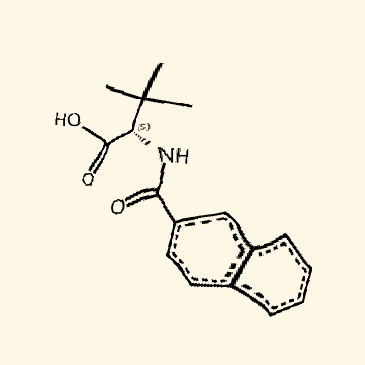 CC(C)(C)[C@H](NC(=O)c1ccc2ccccc2c1)C(=O)O